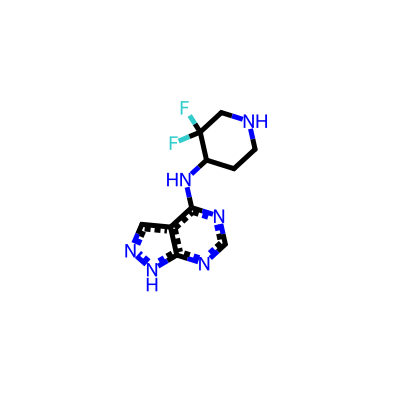 FC1(F)CNCCC1Nc1ncnc2[nH]ncc12